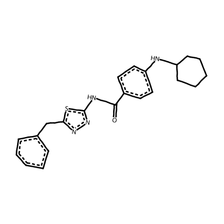 O=C(Nc1nnc(Cc2ccccc2)s1)c1ccc(NC2CCCCC2)cc1